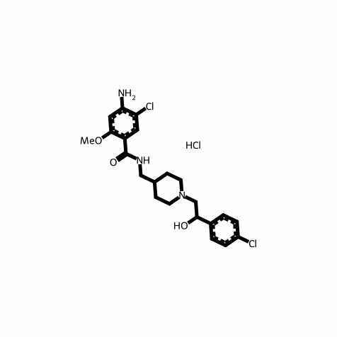 COc1cc(N)c(Cl)cc1C(=O)NCC1CCN(CC(O)c2ccc(Cl)cc2)CC1.Cl